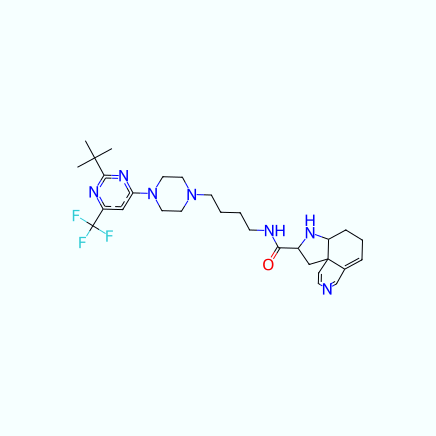 CC(C)(C)c1nc(N2CCN(CCCCNC(=O)C3CC45C=CN=CC4=CCCC5N3)CC2)cc(C(F)(F)F)n1